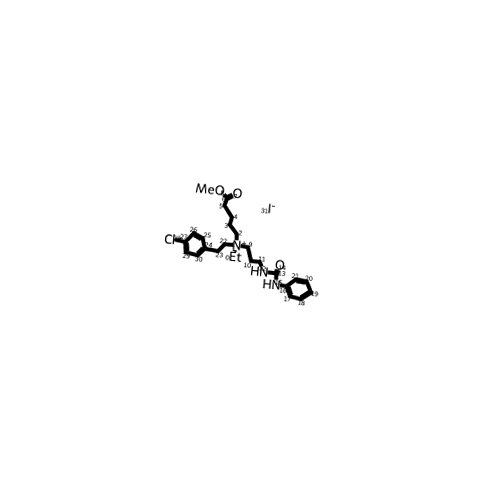 CC[N+](CCCCC(=O)OC)(CCCNC(=O)Nc1ccccc1)CCc1ccc(Cl)cc1.[I-]